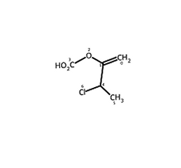 C=C(OC(=O)O)C(C)Cl